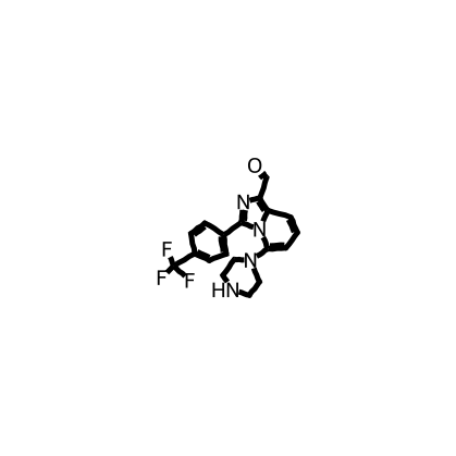 O=Cc1nc(-c2ccc(C(F)(F)F)cc2)n2c(N3CCNCC3)cccc12